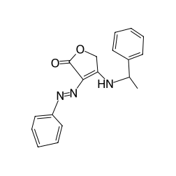 CC(NC1=C(N=Nc2ccccc2)C(=O)OC1)c1ccccc1